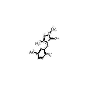 CCc1ccc(C(C)=O)cc1Cn1c(C)nn(C)c1=O